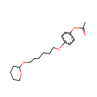 CC(=O)Oc1ccc(OCCCCCCOC2CCCCO2)cc1